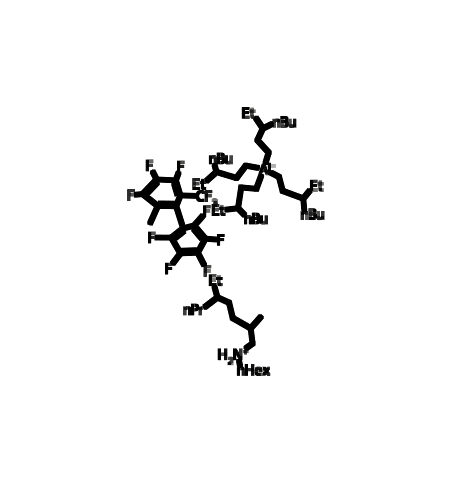 CCCCC(CC)C[CH2][Al-]([CH2]CC(CC)CCCC)([CH2]CC(CC)CCCC)[CH2]CC(CC)CCCC.CCCCCC[NH2+]CC(C)CCC(CC)CCC.Cc1c(F)c(F)c(F)c(C(F)(F)F)c1-c1c(F)c(F)c(F)c(F)c1F